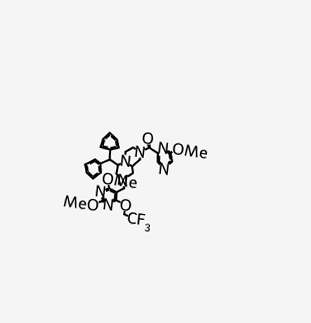 COc1cncc(C(=O)N2CCN3C(CN(Cc4c(OC)nc(OC)nc4OCC(F)(F)F)CC3C(c3ccccc3)c3ccccc3)C2)n1